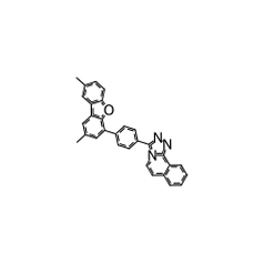 Cc1ccc2oc3c(-c4ccc(-c5nnc6c7ccccc7ccn56)cc4)cc(C)cc3c2c1